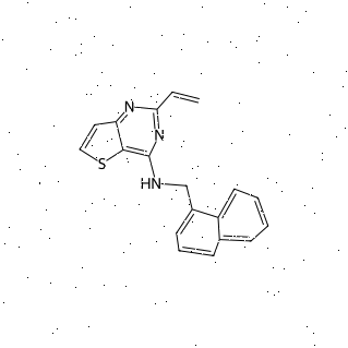 C=Cc1nc(NCc2cccc3ccccc23)c2sccc2n1